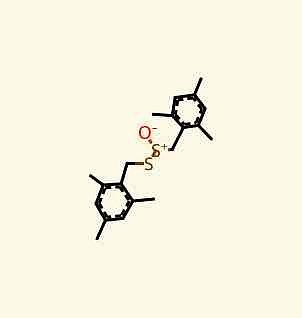 Cc1cc(C)c(CS[S+]([O-])Cc2c(C)cc(C)cc2C)c(C)c1